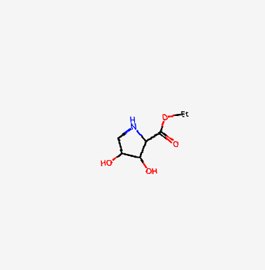 CCOC(=O)C1NCC(O)C1O